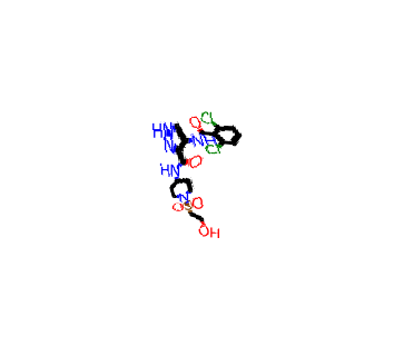 O=C(NC1CCN(S(=O)(=O)CCO)CC1)c1n[nH]cc1NC(=O)c1c(Cl)cccc1Cl